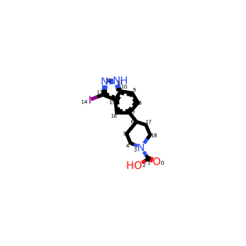 O=C(O)N1CCC(c2ccc3[nH]nc(I)c3c2)CC1